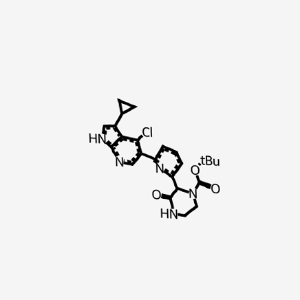 CC(C)(C)OC(=O)N1CCNC(=O)C1c1cccc(-c2cnc3[nH]cc(C4CC4)c3c2Cl)n1